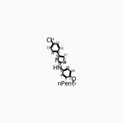 CCCCCOc1ccc(Nc2nc(-c3ccc(Cl)cc3)cs2)cc1